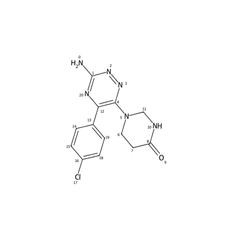 Nc1nnc(N2CCC(=O)NC2)c(-c2ccc(Cl)cc2)n1